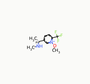 CN[C@H](C)c1ccc(C(F)(F)F)[n+](OC)c1